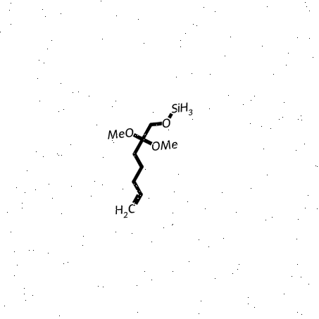 C=CCCCC(CO[SiH3])(OC)OC